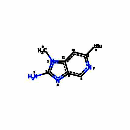 Cn1c(N)nc2cnc(C(C)(C)C)cc21